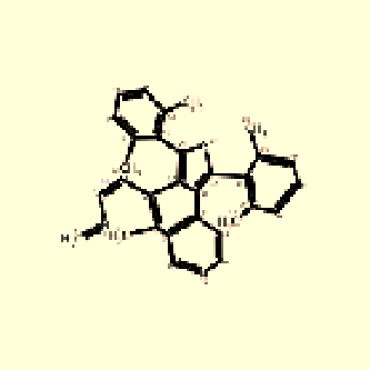 C=N/C=C\c1c(C)c2cnccc2c2c(-c3c(C)cccc3C)sc(-c3c(C)cccc3C)c12